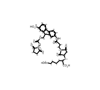 CCCCCCCCCCCCCCC(SC1CC(=O)N(CCC(=O)Nc2ccc3c(c2)C(COC(=O)ON2C(=O)CCC2=O)c2cc(S(=O)(=O)O)ccc2-3)C1=O)C(=O)O